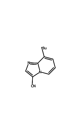 CC(C)(C)c1cccn2c(C#N)cnc12